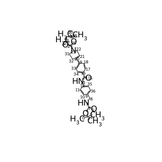 CC(C)(C)OC(=O)NCc1ccc(NC(=O)c2ccc(C3=CCN(C(=O)OC(C)(C)C)CC3)cc2)cc1